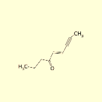 CC#CC=CC(=O)CCC